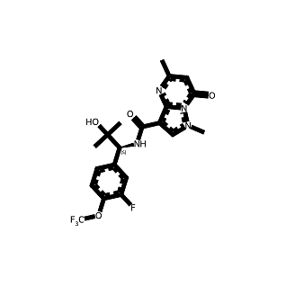 Cc1cc(=O)n2c(n1)c(C(=O)N[C@@H](c1ccc(OC(F)(F)F)c(F)c1)C(C)(C)O)cn2C